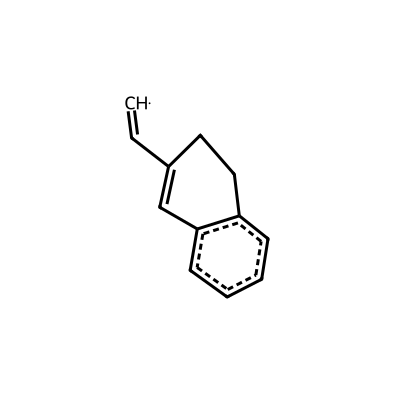 [CH]=CC1=Cc2ccccc2CC1